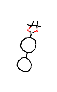 CC1(C)OB(C2CCCCC(C3CCCCCCCCC3)CCCC2)OC1(C)C